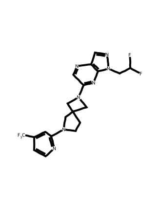 FC(F)Cn1ncc2ncc(N3CC4(CCN(c5cc(C(F)(F)F)ccn5)C4)C3)nc21